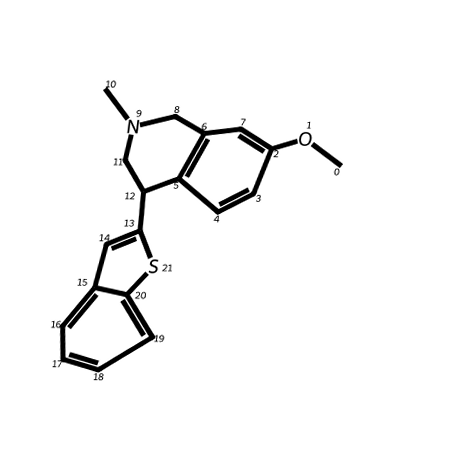 COc1ccc2c(c1)CN(C)CC2c1cc2ccccc2s1